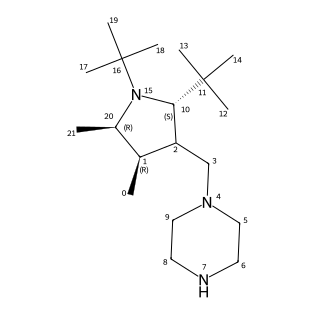 C[C@@H]1C(CN2CCNCC2)[C@@H](C(C)(C)C)N(C(C)(C)C)[C@@H]1C